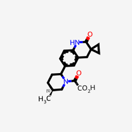 C[C@H]1CCC(c2ccc3c(c2)CC2(CC2)C(=O)N3)N(C(=O)C(=O)O)C1